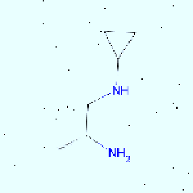 C[C@@H](N)CNC1CC1